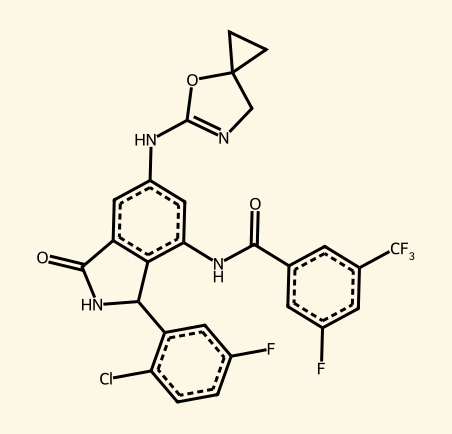 O=C(Nc1cc(NC2=NCC3(CC3)O2)cc2c1C(c1cc(F)ccc1Cl)NC2=O)c1cc(F)cc(C(F)(F)F)c1